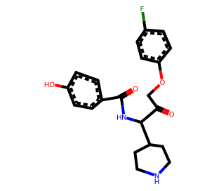 O=C(NC(C(=O)COc1ccc(F)cc1)C1CCNCC1)c1ccc(O)cc1